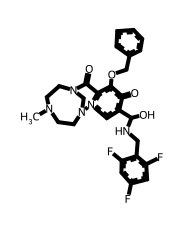 CN1CCN2CN(CC1)n1cc(C(O)NCc3c(F)cc(F)cc3F)c(=O)c(OCc3ccccc3)c1C2=O